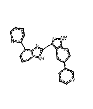 c1ccc(-c2cccc3[nH]c(-c4n[nH]c5ccc(-c6cccnc6)cc45)nc23)nc1